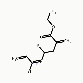 C=C/C(Cl)=N\C(F)CC(=C)C(=O)OCC